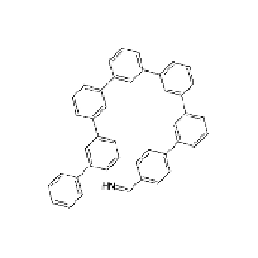 N=Cc1ccc(-c2cccc(-c3cccc(-c4cccc(-c5cccc(-c6cccc(-c7ccccc7)c6)c5)c4)c3)c2)cc1